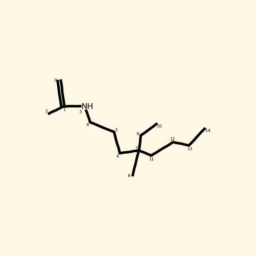 C=C(C)NCCCC(C)(CC)CCCC